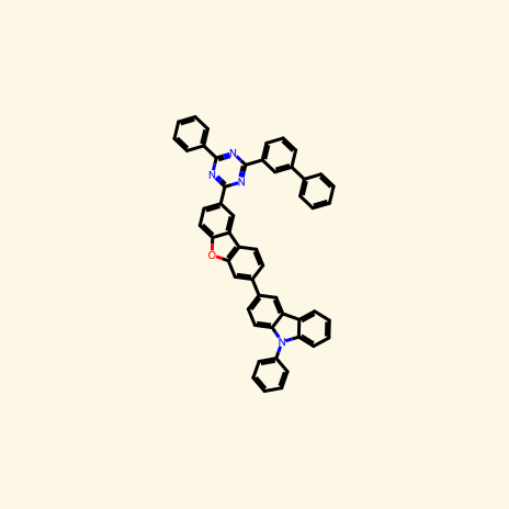 c1ccc(-c2cccc(-c3nc(-c4ccccc4)nc(-c4ccc5oc6cc(-c7ccc8c(c7)c7ccccc7n8-c7ccccc7)ccc6c5c4)n3)c2)cc1